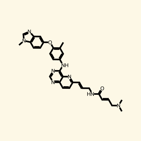 Cc1cc(Nc2ncnc3ccc(/C=C/CNC(=O)C=CCN(C)C)nc23)ccc1Oc1ccc2c(c1)ncn2C